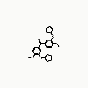 COc1ccc(C(=O)c2ccc(OC)c(OC3CCCC3)c2)cc1OC1CCCC1